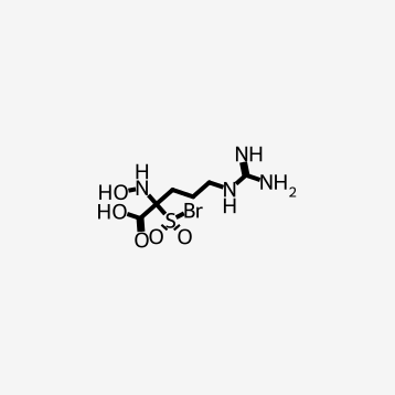 N=C(N)NCCCC(NO)(C(=O)O)S(=O)(=O)Br